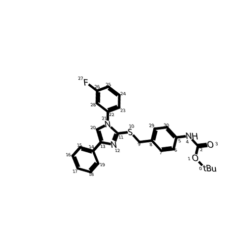 CC(C)(C)OC(=O)Nc1ccc(CSc2nc(-c3ccccc3)cn2-c2cccc(F)c2)cc1